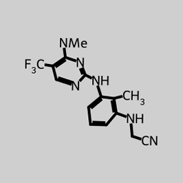 CNc1nc(Nc2cccc(NCC#N)c2C)ncc1C(F)(F)F